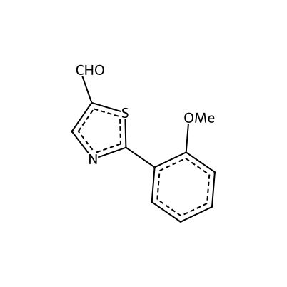 COc1ccccc1-c1ncc(C=O)s1